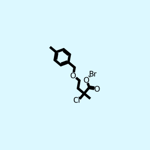 Cc1ccc(COCCC(C)(Cl)C(=O)OBr)cc1